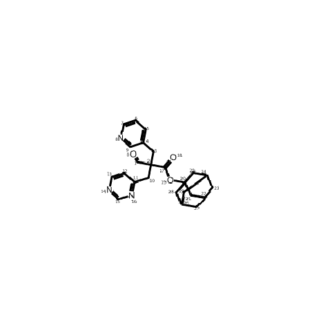 O=CC(Cc1cccnc1)(Cc1ccncn1)C(=O)OC12CC3CC(CC(C3)C1)C2